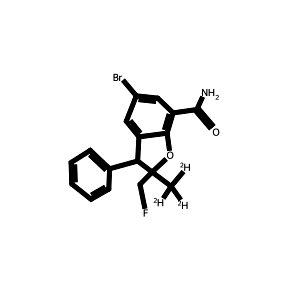 [2H]C([2H])([2H])C1(CF)Oc2c(C(N)=O)cc(Br)cc2C1c1ccccc1